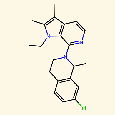 CCn1c(C)c(C)c2ccnc(N3CCc4ccc(Cl)cc4C3C)c21